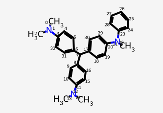 CN(C)c1ccc(C(c2ccc(N(C)C)cc2)c2ccc(N(C)c3ccccc3)cc2)cc1